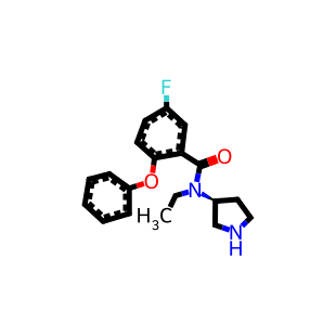 CCN(C(=O)c1cc(F)ccc1Oc1ccccc1)[C@H]1CCNC1